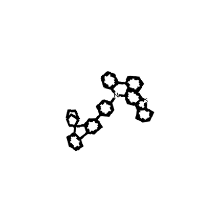 c1ccc(-c2ccccc2N(c2ccc(-c3ccc4c(c3)C3(CC5CCC3C5)c3ccccc3-4)cc2)c2ccc3sc4ccccc4c3c2)cc1